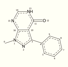 Cn1nc(-c2ccccc2)c2c(=O)[nH]cnc21